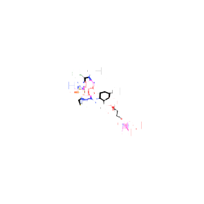 Cc1cc(C)c(OC(=O)CCCON(O)O)c(C)c1NC(=O)c1sccc1S(=O)(=O)Nc1onc(C)c1Cl